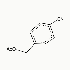 CC(=O)OCc1ccc(C#N)cc1